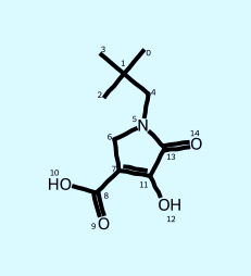 CC(C)(C)CN1CC(C(=O)O)=C(O)C1=O